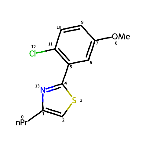 CCCc1csc(-c2cc(OC)ccc2Cl)n1